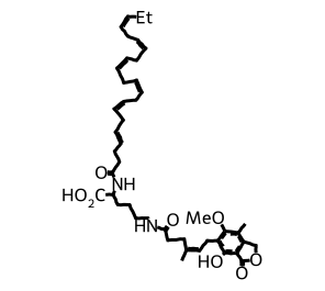 CC/C=C\C/C=C\C/C=C\C/C=C\C/C=C\CC=CCCC(=O)NC(CCCCNC(=O)CC/C(C)=C\Cc1c(O)c2c(c(C)c1OC)COC2=O)C(=O)O